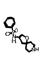 O=S(=O)(NC1COC2(CCNCC2)C1)c1ccccc1